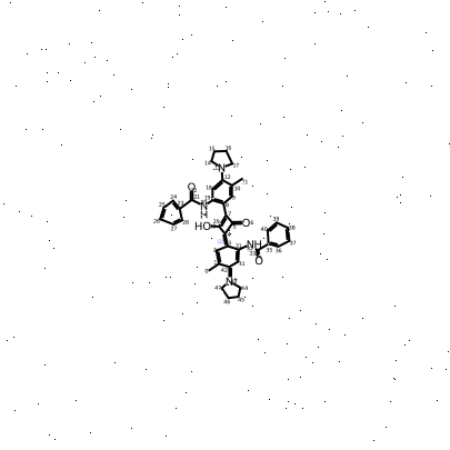 CC1=C/C(=C2/C(=O)C(c3cc(C)c(N4CCCC4)cc3NC(=O)c3ccccc3)=C2O)C(NC(=O)c2ccccc2)=CC1=[N+]1CCCC1